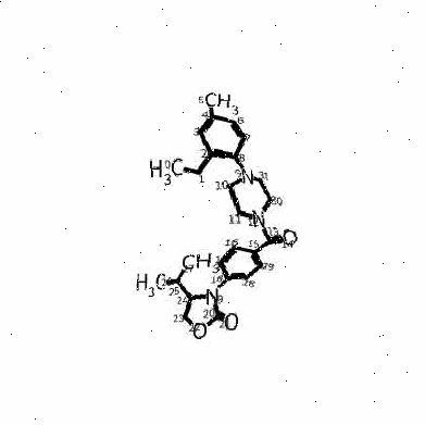 CCc1cc(C)ccc1N1CCN(C(=O)c2ccc(N3C(=O)OCC3C(C)C)cc2)CC1